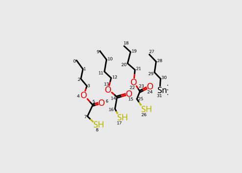 CCCCOC(=O)CS.CCCCOC(=O)CS.CCCCOC(=O)CS.CCC[CH2][Sn]